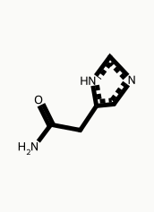 NC(=O)Cc1cnc[nH]1